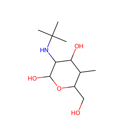 CC1C(CO)OC(O)C(NC(C)(C)C)C1O